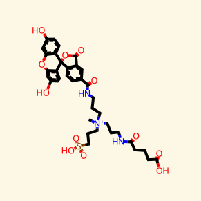 C[N+](CCCNC(=O)CCCC(=O)O)(CCCNC(=O)c1ccc2c(c1)C(=O)OC21c2ccc(O)cc2Oc2cc(O)ccc21)CCCS(=O)(=O)O